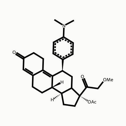 COCC(=O)[C@@]1(OC(C)=O)CC[C@@H]2C1C[C@H](c1ccc(N(C)C)cc1)C1=C3CCC(=O)C=C3CC[C@H]12